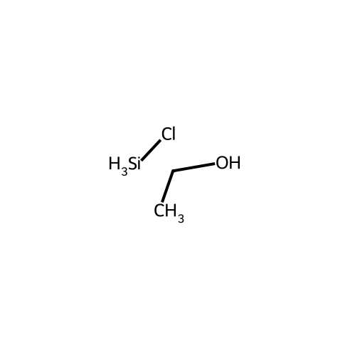 CCO.[SiH3]Cl